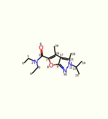 CCN(CC)C(=O)c1oc2nn(C(C)C)c(C)c2c1C